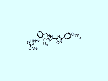 COC(=O)CNSc1cccc(Cn2nc(-c3nc(-c4ccc(OC(F)(F)F)cc4)no3)nc2C)c1